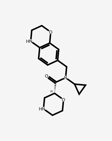 O=C([C@H]1CNCCO1)N(Cc1ccc2c(c1)OCCN2)C1CC1